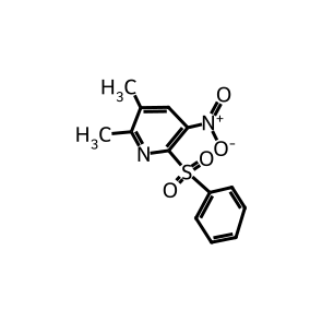 Cc1cc([N+](=O)[O-])c(S(=O)(=O)c2ccccc2)nc1C